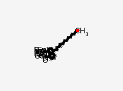 CCCCCCCCCCCCCc1ccc2c3c(cccc13)C(=O)N(OS(=O)(=O)C(F)(F)F)C2=O